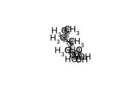 CC(=CCOC1OC(CO)C(O)C(O)C1O)CCCC(C)CCCC(C)CCCC(C)C